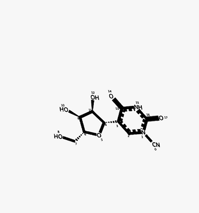 N#Cn1cc([C@@H]2O[C@H](CO)[C@@H](O)[C@H]2O)c(=O)[nH]c1=O